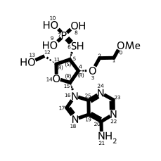 COCCO[C@H]1[C@@H]([SH]=P(O)(O)O)[C@@H](CO)O[C@H]1n1cnc2c(N)ncnc21